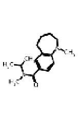 CC(C)N(C)C(=O)c1ccc2c(c1)CCCCN2C